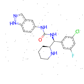 O=C(Nc1ccc2[nH]ncc2c1)N[C@@H](c1cc(F)cc(Cl)c1)[C@@H]1CCCCN1